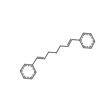 [CH](CC=Cc1ccccc1)CC=Cc1ccccc1